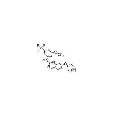 COc1cc(Nc2ncc3ccc(OC4CCNCC4)cc3n2)cc(C(F)(F)F)c1